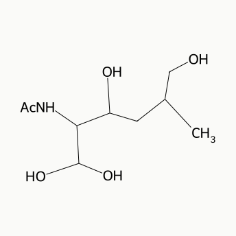 CC(=O)NC(C(O)O)C(O)CC(C)CO